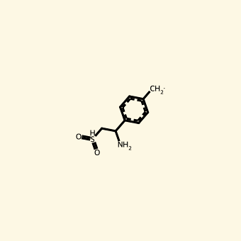 [CH2]c1ccc(C(N)C[SH](=O)=O)cc1